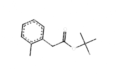 Cc1ccccc1CC(=O)OC(C)(C)C